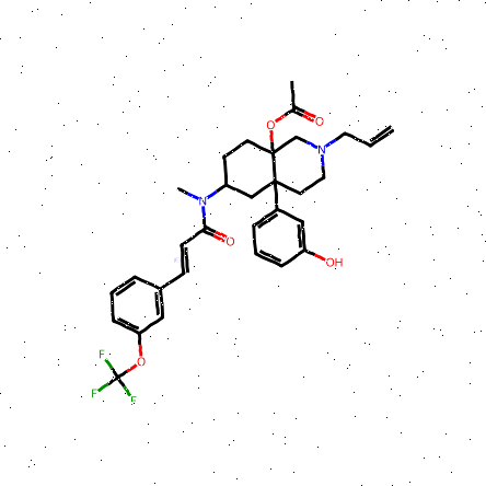 C=CCN1CCC2(c3cccc(O)c3)CC(N(C)C(=O)/C=C/c3cccc(OC(F)(F)F)c3)CCC2(OC(C)=O)C1